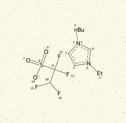 CCCC[n+]1ccn(CC)c1.O=S(=O)([O-])C(F)(F)C(F)F